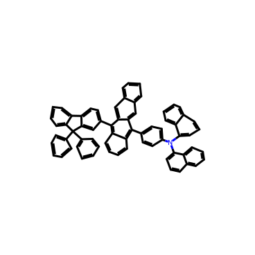 c1ccc(C2(c3ccccc3)c3ccccc3-c3ccc(-c4c5ccccc5c(-c5ccc(N(c6cccc7ccccc67)c6cccc7ccccc67)cc5)c5cc6ccccc6cc45)cc32)cc1